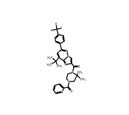 CC(C)(C)c1cc(-c2ccc(C(F)(F)F)cc2)nn2cc(C(=O)N3CCN(C(=O)c4ccccn4)CC3(C)C)nc12